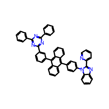 c1ccc(-c2nc(-c3ccccc3)nc(-c3cccc(-c4c5ccccc5c(-c5ccc(-n6c(-c7ccccn7)nc7ccccc76)cc5)c5ccccc45)c3)n2)cc1